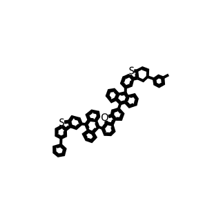 Cc1cccc(C2C=Cc3sc4ccc(-c5c6ccccc6c(-c6ccc7c(c6)oc6c(-c8c9ccccc9c(-c9ccc%10sc%11ccc(-c%12ccccc%12)cc%11c%10c9)c9ccccc89)cccc67)c6ccccc56)cc4c3C2)c1